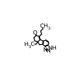 CCCCC1=C2c3ccc4[nH]nnc4c3CC2(CC)CCC1=O